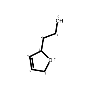 OCCC1C=CCO1